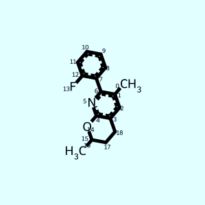 Cc1cc2c(nc1-c1ccccc1F)OC(C)CC2